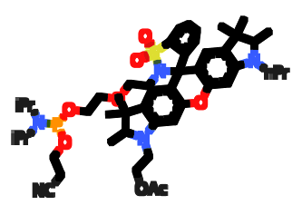 CCCN1c2cc3c(cc2C(C)(C)C1C)C1(c2cc4c(cc2O3)N(CCOC(C)=O)C(C)C4(C)C)c2ccccc2S(=O)(=O)N1CCOCCOP(OCCC#N)N(C(C)C)C(C)C